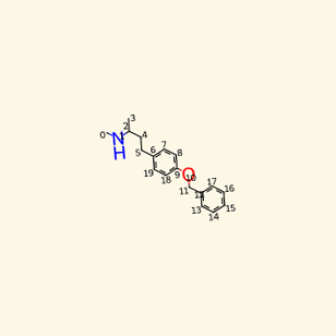 CNC(C)CCc1ccc(OCc2ccccc2)cc1